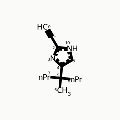 C#Cc1nc(C(C)(CCC)CCC)c[nH]1